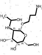 CC(O)N[C@H]1[C@H](OCCCN)O[C@H](CO)[C@H](O)[C@@H]1O